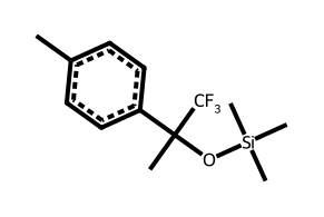 Cc1ccc(C(C)(O[Si](C)(C)C)C(F)(F)F)cc1